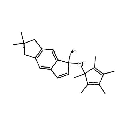 CCC[C]1([Hf][C]2(C)C(C)=C(C)C(C)=C2C)C=Cc2cc3c(cc21)CC(C)(C)C3